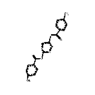 Cc1ccc(C(=O)Oc2ccc(OC(=O)c3ccc(C)cc3)nn2)cc1